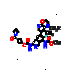 Cc1c(-c2cc3cc(NC(=O)O[C@H]4C[C@@H](C(=O)N5CCC5)C4)ncc3c(NC(=O)OC(C)(C)C)c2F)cnc2c1N(C(=O)O)CCO2